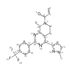 C=CC(=O)N1CCc2c(-c3ccn(C)n3)nc(-c3ccc(C(F)(F)F)cc3)nc2C1C